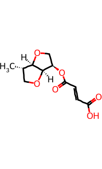 C[C@H]1CO[C@H]2[C@@H]1OC[C@H]2OC(=O)/C=C/C(=O)O